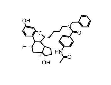 CC(=O)Nc1ccc(C(=O)N(CCCC[C@@H]2Cc3cc(O)ccc3C3C2C2CC[C@H](O)[C@@]2(C)C[C@@H]3F)Cc2ccccc2)cc1